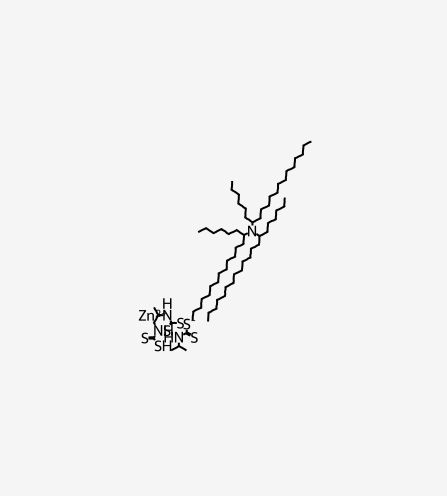 CC(C)NC(=S)[S-].CC(CNC(=S)S)NC(=S)[S-].CCCCCCCCCCCCCC(CCCCCC)N(C(CCCCCC)CCCCCCCCCCCCC)C(CCCCCC)CCCCCCCCCCCCC.[Zn+2]